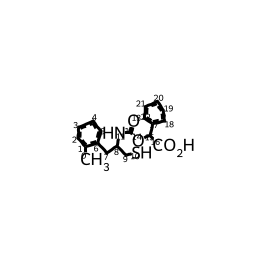 Cc1ccccc1CC(CS)NC(=O)OC(C(=O)O)c1ccccc1